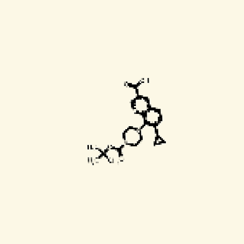 CC(C)(C)OC(=O)N1CCN(c2c(C3CC3)ccc3cc(C(=O)O)cnc23)CC1